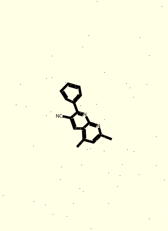 Cc1cc(C)c2cc(C#N)c(-c3ccccc3)nc2n1